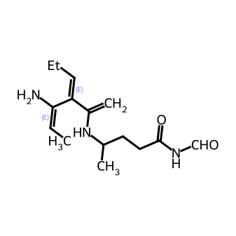 C=C(NC(C)CCC(=O)NC=O)C(=C/CC)/C(N)=C\C